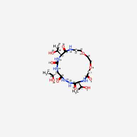 CC(O)[C@@H]1NC(=O)COCCOCCNC(=O)[C@H](C(C)O)NC(=O)N[C@@H](C(C)O)C(=O)NNC1=O